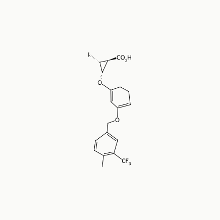 Cc1ccc(COC2=CCCC(O[C@@H]3[C@H](I)[C@H]3C(=O)O)=C2)cc1C(F)(F)F